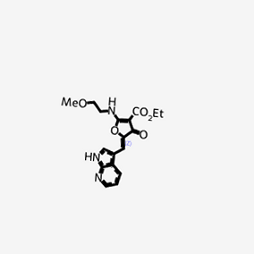 CCOC(=O)C1=C(NCCOC)O/C(=C\c2c[nH]c3ncccc23)C1=O